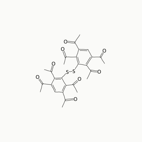 CC(=O)c1cc(C(C)=O)c(C(C)=O)c(SSc2c(C(C)=O)c(C(C)=O)cc(C(C)=O)c2C(C)=O)c1C(C)=O